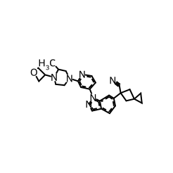 CC1CN(c2cc(-n3ncc4ccc(C5(C#N)CC6(CC6)C5)cc43)ccn2)CCN1C1COC1